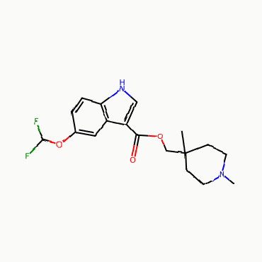 CN1CCC(C)(COC(=O)c2c[nH]c3ccc(OC(F)F)cc23)CC1